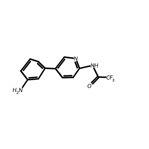 Nc1cccc(-c2ccc(NC(=O)C(F)(F)F)nc2)c1